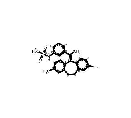 CC(=C1c2ccc(C)cc2CCc2cc(F)ccc21)c1cccc(NS(C)(=O)=O)c1